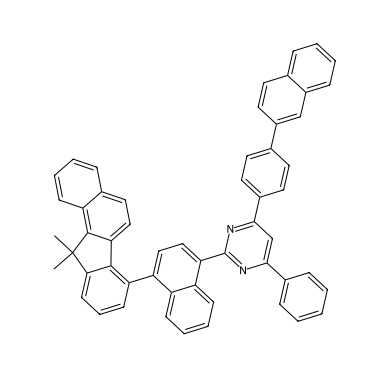 CC1(C)c2cccc(-c3ccc(-c4nc(-c5ccccc5)cc(-c5ccc(-c6ccc7ccccc7c6)cc5)n4)c4ccccc34)c2-c2ccc3ccccc3c21